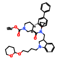 CC(C)(C)OC(=O)N1CC[C@H](c2cccc(-c3ccccc3)c2)[C@@H](C(=O)N(CC2CN(CCCCOC3CCCCO3)c3ccccc32)C2CC2)C1